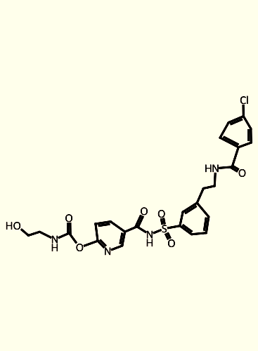 O=C(NCCO)Oc1ccc(C(=O)NS(=O)(=O)c2cccc(CCNC(=O)c3ccc(Cl)cc3)c2)cn1